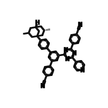 CC1C[C@@H]2C[C@H](C)CC(c3ccc(-c4cc(-c5ccc(C#N)cc5)cc(-c5nc(-c6ccncc6)nc(-c6ccc(C#N)cc6)n5)c4)cc3)(C1)C2